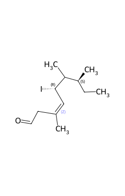 CC[C@H](C)C(C)[C@@H](I)/C=C(/C)CC=O